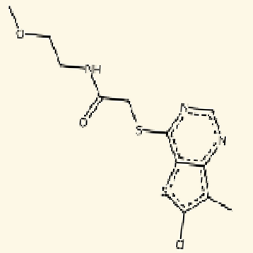 COCCNC(=O)CSc1ncnc2c(C)c(Cl)sc12